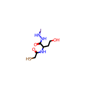 O=C(CS)NC(CCO)C(=O)NNI